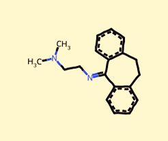 CN(C)CCN=C1c2ccccc2CCc2ccccc21